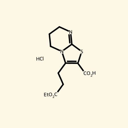 CCOC(=O)CCC1=C(C(=O)O)SC2=NCCCN21.Cl